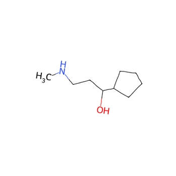 CNCCC(O)C1CCCC1